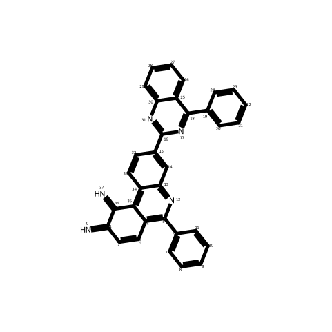 N=C1C=Cc2c(-c3ccccc3)nc3cc(-c4nc(-c5ccccc5)c5ccccc5n4)ccc3c2C1=N